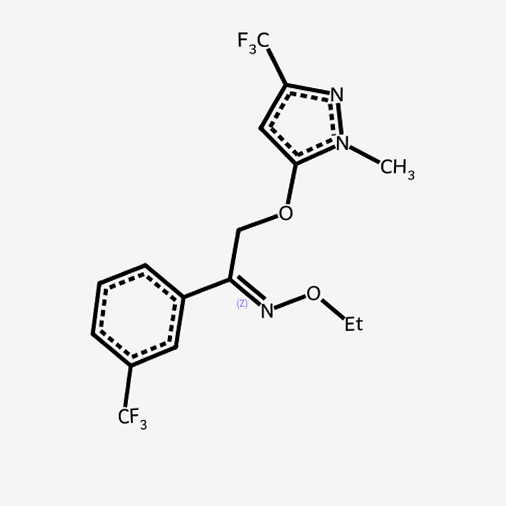 CCO/N=C(\COc1cc(C(F)(F)F)nn1C)c1cccc(C(F)(F)F)c1